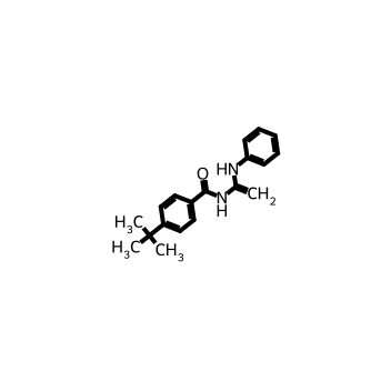 C=C(NC(=O)c1ccc(C(C)(C)C)cc1)Nc1ccccc1